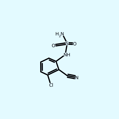 N#Cc1c(Cl)cccc1NS(N)(=O)=O